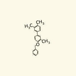 Cc1ccc(-c2ccc(OCc3ccccc3)c(C)c2)cc1C